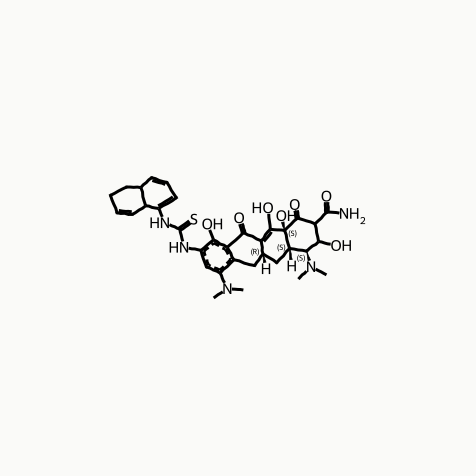 CN(C)c1cc(NC(=S)NC2=CC=CC3CCC=CC23)c(O)c2c1C[C@H]1C[C@H]3[C@H](N(C)C)C(O)C(C(N)=O)C(=O)[C@@]3(O)C(O)=C1C2=O